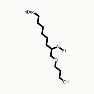 CCCCCCCCCCCCCCCCC(COCCCO)NCC